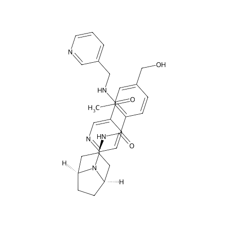 Cc1cc(CO)ccc1C(=O)N[C@H]1C[C@H]2CC[C@@H](C1)N2c1ccc(C(=O)NCc2cccnc2)cn1